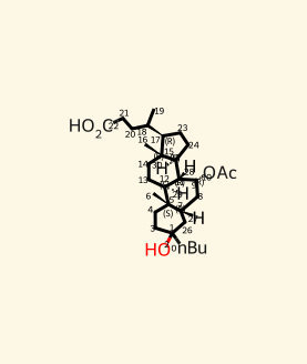 CCCCC1(O)CC[C@@]2(C)[C@H](C[C@@H](OC(C)=O)[C@@H]3[C@@H]2CC[C@]2(C)[C@@H](C(C)CCC(=O)O)CC[C@@H]32)C1